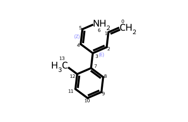 C=C/C=C(\C=C/N)c1ccccc1C